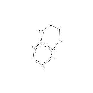 [C]1CCc2cnccc2N1